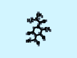 CCCC(=O)C1C(=O)CN(C(=O)N(C)C)C(C)C1=O